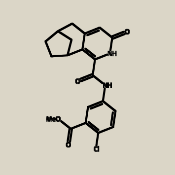 COC(=O)c1cc(NC(=O)c2[nH]c(=O)cc3c2C2CCC(C3)C2)ccc1Cl